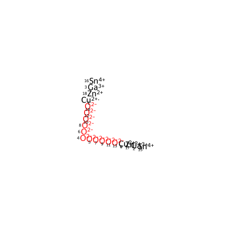 [Cu+2].[Cu+2].[Ga+3].[Ga+3].[O-2].[O-2].[O-2].[O-2].[O-2].[O-2].[O-2].[O-2].[O-2].[O-2].[O-2].[Sn+4].[Sn+4].[Zn+2].[Zn+2]